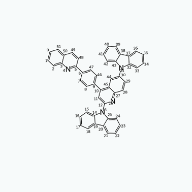 c1ccc2nc(-c3ccc(-c4cc(-n5c6ccccc6c6ccccc65)nc5ccc(-n6c7ccccc7c7ccccc76)cc45)cc3)ccc2c1